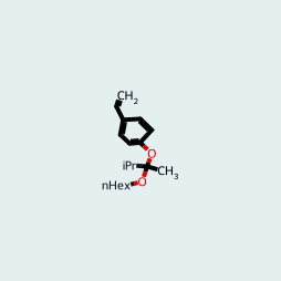 C=Cc1ccc(OC(C)(OCCCCCC)C(C)C)cc1